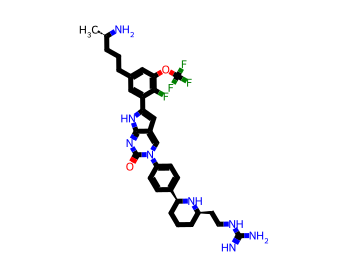 C[C@H](N)CCCc1cc(OC(F)(F)F)c(F)c(-c2cc3cn(-c4ccc([C@@H]5CCC[C@H](CCNC(=N)N)N5)cc4)c(=O)nc3[nH]2)c1